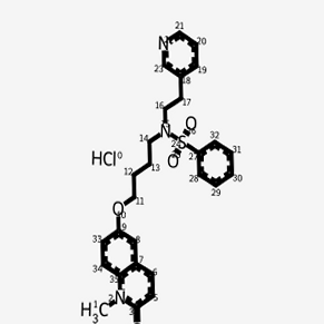 Cl.Cn1c(=O)ccc2cc(OCCCCN(CCc3cccnc3)S(=O)(=O)c3ccccc3)ccc21